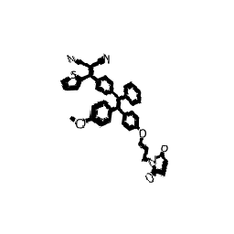 COc1ccc(C(=C(c2ccccc2)c2ccc(C(=C(C#N)C#N)c3cccs3)cc2)c2ccc(OCCCN3C(=O)C=CC3=O)cc2)cc1